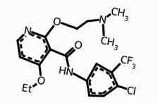 CCOc1ccnc(OCCN(C)C)c1C(=O)Nc1ccc(Cl)c(C(F)(F)F)c1